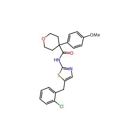 COc1ccc(C2(C(=O)Nc3ncc(Cc4ccccc4Cl)s3)CCOCC2)cc1